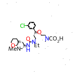 CCN(CC[C@@H](OCCN(C)C(=O)O)c1cccc(Cl)c1)C(=O)N[C@H](CNC)C[C@H]1CCCOC1